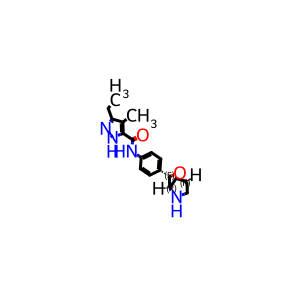 CCc1n[nH]c(C(=O)Nc2ccc([C@@H]3O[C@H]4CN[C@@H]3C4)cc2)c1C